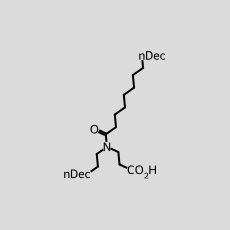 CCCCCCCCCCCCCCCCCC(=O)N(CCCCCCCCCCCC)CCC(=O)O